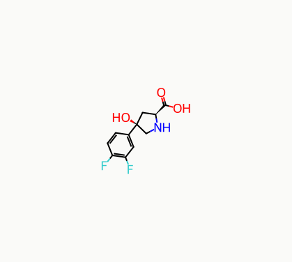 O=C(O)[C@@H]1C[C@@](O)(c2ccc(F)c(F)c2)CN1